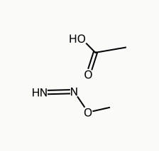 CC(=O)O.CON=N